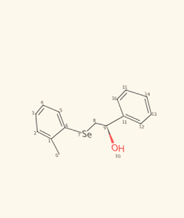 Cc1ccccc1[Se]C[C@H](O)c1ccccc1